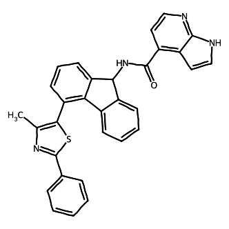 Cc1nc(-c2ccccc2)sc1-c1cccc2c1-c1ccccc1C2NC(=O)c1ccnc2[nH]ccc12